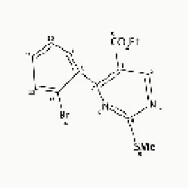 CCOC(=O)c1cnc(SC)nc1-c1ccccc1Br